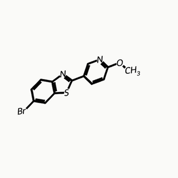 COc1ccc(-c2nc3ccc(Br)cc3s2)cn1